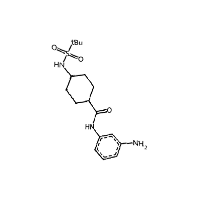 CC(C)(C)S(=O)(=O)NC1CCC(C(=O)Nc2cccc(N)c2)CC1